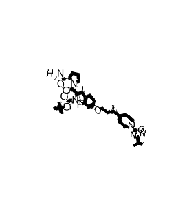 CC(C)c1noc(N2CCC([C@H](C)CCOc3ccc([C@H](C)[C@H](NC(=O)OC(C)(C)C)C(=O)N4CCC[C@H]4C(N)=O)c(F)c3)CC2)n1